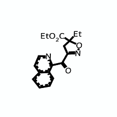 CCOC(=O)C1(CC)CC(C(=O)c2nccc3ccccc23)=NO1